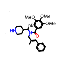 CCCCC(C1CCNCC1)N(CC(C)=Cc1ccccc1)C(=O)c1cc(OC)c(OC)c(OC)c1